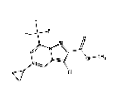 COC(=O)c1nn2c(C(F)(F)F)cc(C3CC3)cc2c1Cl